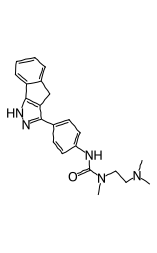 CN(C)CCN(C)C(=O)Nc1ccc(-c2n[nH]c3c2Cc2ccccc2-3)cc1